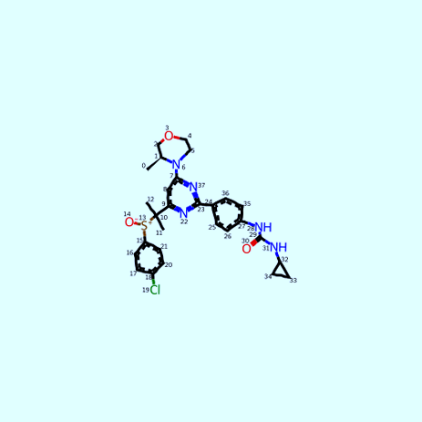 C[C@H]1COCCN1c1cc(C(C)(C)[S+]([O-])c2ccc(Cl)cc2)nc(-c2ccc(NC(=O)NC3CC3)cc2)n1